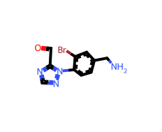 NCc1ccc(-n2ncnc2C=O)c(Br)c1